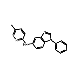 Cc1ccc(Nc2ccc3c(c2)ncn3-c2ccccc2)nn1